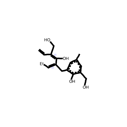 C=C/C(CO)=C(O)\C(=C/CC)Cc1cc(C)cc(CO)c1O